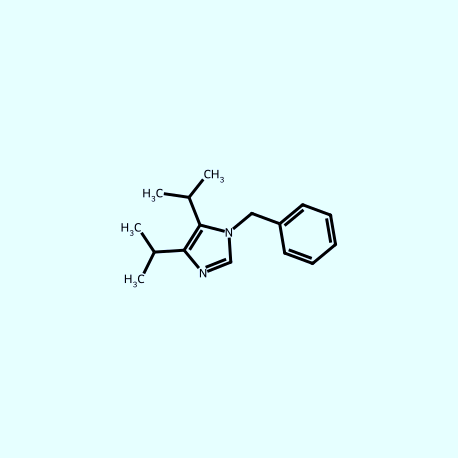 CC(C)c1ncn(Cc2ccccc2)c1C(C)C